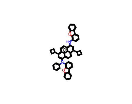 CC12C3=CC=C4C(C5CCC5)=CC(Nc5cccc6c5oc5ccccc56)=C(C=CC1=C(C1CCC1)C=C3N(c1ccccc1)c1cccc3c1oc1ccccc13)C42